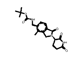 Cc1c(CNC(=O)OC(C)(C)C)ccc2c1CN(C1CCC(=O)NC1=O)C2=O